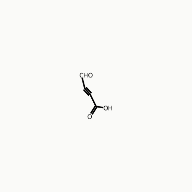 O=CC#CC(=O)O